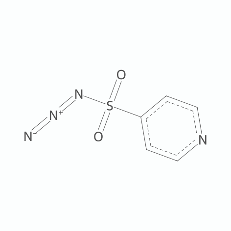 [N-]=[N+]=NS(=O)(=O)c1ccncc1